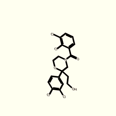 O=C(c1cccc(Cl)c1Cl)N1CCOC(CCO)(c2ccc(Cl)c(Cl)c2)C1